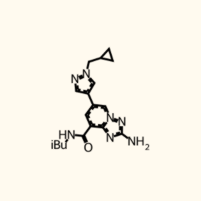 CCC(C)NC(=O)c1cc(-c2cnn(CC3CC3)c2)cn2nc(N)nc12